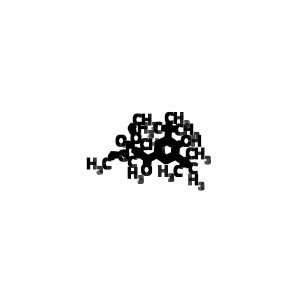 CCOP(=O)(OCC)C(C)(C)C(=O)c1cc(C(C)(C)C)c(O)c(C(C)(C)C)c1